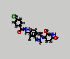 C/C(=N/c1cccc(CNC(=O)c2ccc(Cl)cc2)c1C)N(C=O)C1CCC(=O)NC1=O